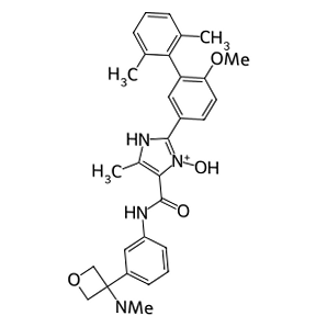 CNC1(c2cccc(NC(=O)c3c(C)[nH]c(-c4ccc(OC)c(-c5c(C)cccc5C)c4)[n+]3O)c2)COC1